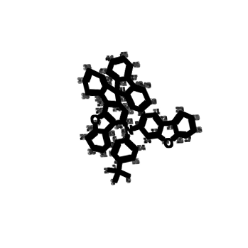 CC(C)(C)c1ccc(N(c2ccc3c(c2)oc2ccccc23)c2cc3c(c4oc5ccccc5c24)-c2ccccc2C32c3ccccc3-c3ccccc32)cc1